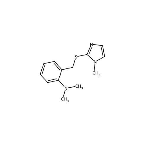 CN(C)c1ccccc1CSc1nccn1C